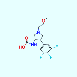 COCCN1CC(NC(=O)O)C(c2cc(F)c(F)c(F)c2)C1